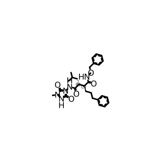 CC(C)C[C@@H](C(=O)Nn1c(=O)[nH]n(C)c1=O)[C@H](CCCc1ccccc1)C(=O)NOCc1ccccc1